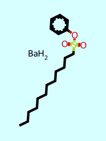 CCCCCCCCCCCCS(=O)(=O)Oc1ccccc1.[BaH2]